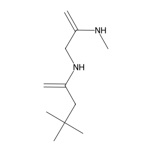 C=C(CNC(=C)CC(C)(C)C)NC